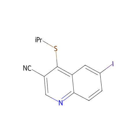 CC(C)Sc1c(C#N)cnc2ccc(I)cc12